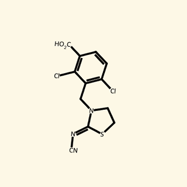 N#CN=C1SCCN1Cc1c(Cl)ccc(C(=O)O)c1Cl